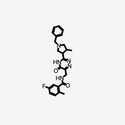 Cc1ccc(F)cc1C(=O)NCc1nnc(C2CN(Cc3ccccc3)CC2C)[nH]c1=O